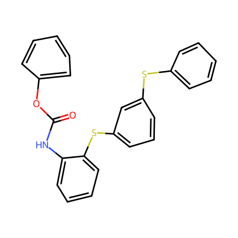 O=C(Nc1ccccc1Sc1cccc(Sc2ccccc2)c1)Oc1ccccc1